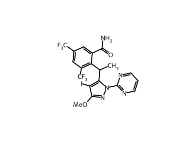 COc1nn(-c2ncccn2)c(C(C)c2c(C(N)=O)cc(C(F)(F)F)cc2C(F)(F)F)c1I